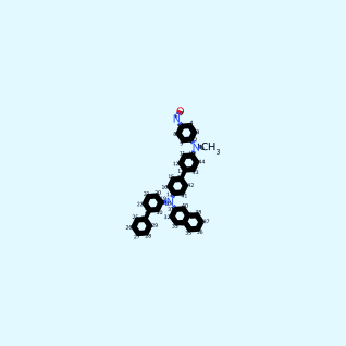 CN(c1ccc(N=O)cc1)c1ccc(-c2ccc(N(c3cccc(-c4ccccc4)c3)c3ccc4ccccc4c3)cc2)cc1